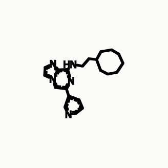 c1cncc(-c2cn3ccnc3c(NCCC3CCCCCCC3)n2)c1